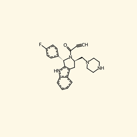 C#CC(=O)N1[C@@H](CN2CCNCC2)Cc2c([nH]c3ccccc23)[C@@H]1c1ccc(F)cc1